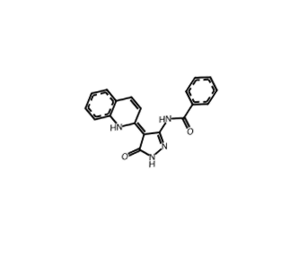 O=C1NN=C(NC(=O)c2ccccc2)C1=C1C=Cc2ccccc2N1